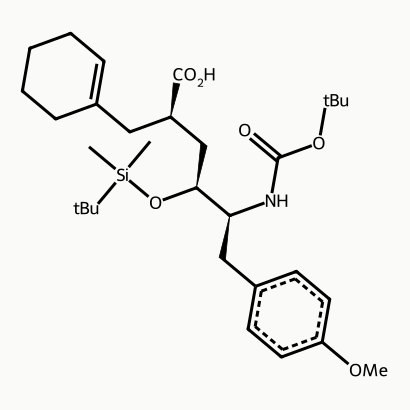 COc1ccc(C[C@H](NC(=O)OC(C)(C)C)[C@H](C[C@@H](CC2=CCCCC2)C(=O)O)O[Si](C)(C)C(C)(C)C)cc1